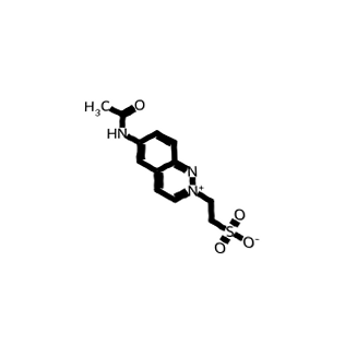 CC(=O)Nc1ccc2n[n+](CCS(=O)(=O)[O-])ccc2c1